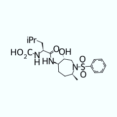 CC(C)C[C@H](NC(=O)O)C(=O)N[C@@H]1CC[C@H](C)N(S(=O)(=O)c2ccccc2)C[C@H]1O